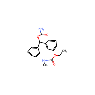 CCOC(=O)NC.NC(=O)OC(c1ccccc1)c1ccccc1